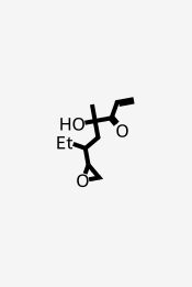 C=CC(=O)C(C)(O)CC(CC)C1CO1